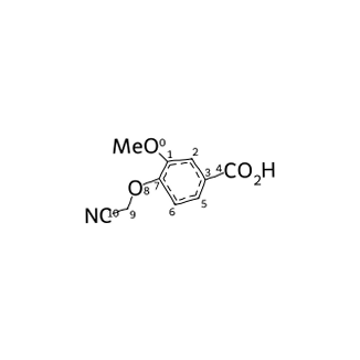 COc1cc(C(=O)O)ccc1OCC#N